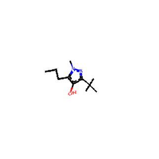 CCCc1c(O)c(C(C)(C)C)nn1C